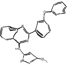 Cc1cc(Nc2nc(-c3cccc(Oc4ccccc4)c3)nc3ccccc23)[nH]n1